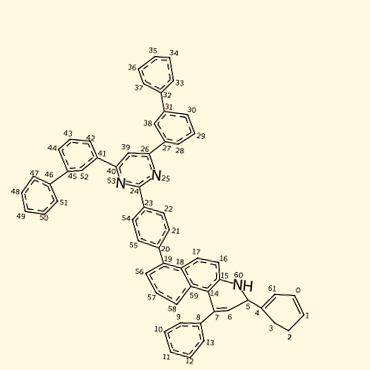 C1=CCCC(C2C=C(c3ccccc3)c3c(ccc4c(-c5ccc(-c6nc(-c7cccc(-c8ccccc8)c7)cc(-c7cccc(-c8ccccc8)c7)n6)cc5)cccc34)N2)=C1